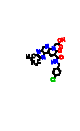 Cc1nc2cnc3c(cc(C(=O)NCc4ccc(Cl)cc4)c(=O)n3CC(=O)O)c2nc1C